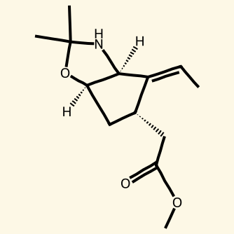 C/C=C1\[C@H](CC(=O)OC)C[C@H]2OC(C)(C)N[C@@H]12